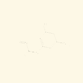 C=NC(=C)NC1=CC(C)CC(N)=C1